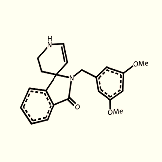 COc1cc(CN2C(=O)c3ccccc3C23C=CNCC3)cc(OC)c1